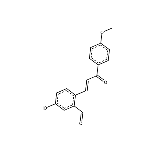 COc1ccc(C(=O)C=Cc2ccc(O)cc2C=O)cc1